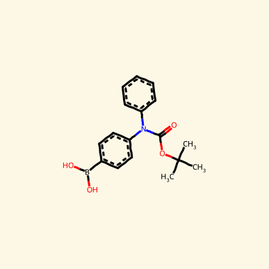 CC(C)(C)OC(=O)N(c1ccccc1)c1ccc(B(O)O)cc1